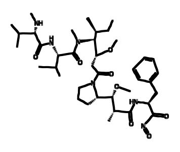 CC[C@H](C)[C@@H]([C@@H](CC(=O)N1CCC[C@H]1[C@H](OC)[C@@H](C)C(=O)N[C@@H](Cc1ccccc1)C(=O)N=O)OC)N(C)C(=O)[C@@H](NC(=O)[C@@H](NC)C(C)C)C(C)C